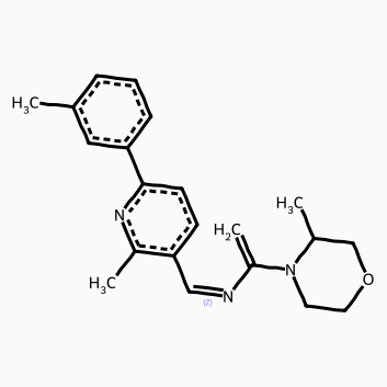 C=C(/N=C\c1ccc(-c2cccc(C)c2)nc1C)N1CCOCC1C